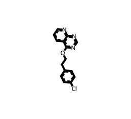 Clc1ccc(CCOc2ncnc3ncccc23)cc1